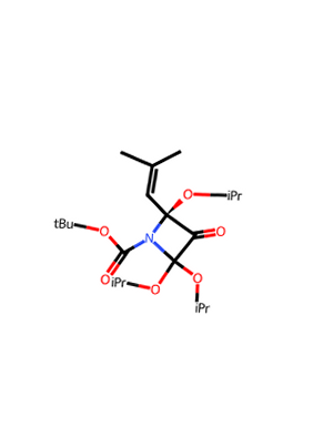 CC(C)=C[C@]1(OC(C)C)C(=O)C(OC(C)C)(OC(C)C)N1C(=O)OC(C)(C)C